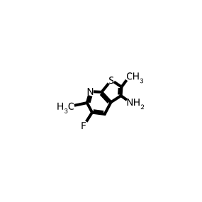 Cc1nc2sc(C)c(N)c2cc1F